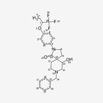 CC(Oc1ccc(N2CCC3(CCN(Cc4ccccc4)CC3O)C2=O)cc1)C(F)(F)F